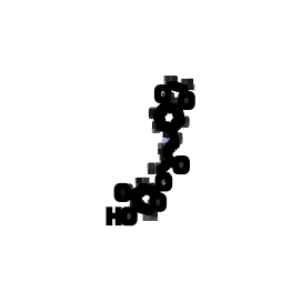 O=C(/C=C/c1ccc2c(c1)OCCO2)COc1cc(=O)c(O)co1